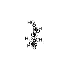 Cc1cc(N2C(=O)NC(=O)C23CCCC3)cc(C)c1CCS(=O)(=O)N1CCC2(CC1)N=C(c1ccc(O)cc1)NC2=O